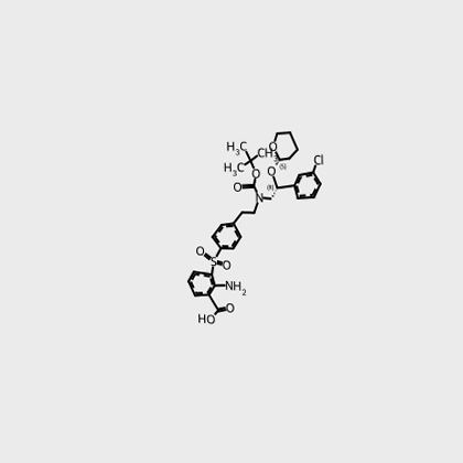 CC(C)(C)OC(=O)N(CCc1ccc(S(=O)(=O)c2cccc(C(=O)O)c2N)cc1)C[C@H](O[C@H]1CCCCO1)c1cccc(Cl)c1